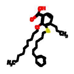 CCCCCCCCCCOc1c(C(=O)O)ccc(CCC)c1SCCCCCCc1ccccc1